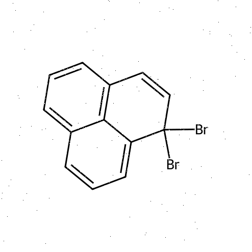 BrC1(Br)C=Cc2cccc3cccc1c23